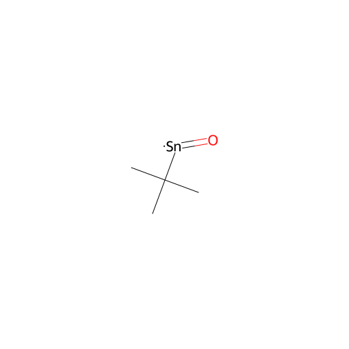 C[C](C)(C)[Sn]=[O]